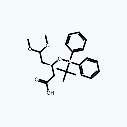 COC(C[C@H](CC(=O)O)O[Si](c1ccccc1)(c1ccccc1)C(C)(C)C)OC